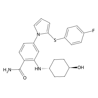 NC(=O)c1ccc(-n2cccc2Sc2ccc(F)cc2)cc1N[C@H]1CC[C@H](O)CC1